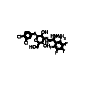 NN/C(=C\NC1C(O)[C@@H](Sc2ccc(Cl)c(Cl)c2)OC(CO)[C@@H]1O)c1c(F)c(F)c(F)c(F)c1F